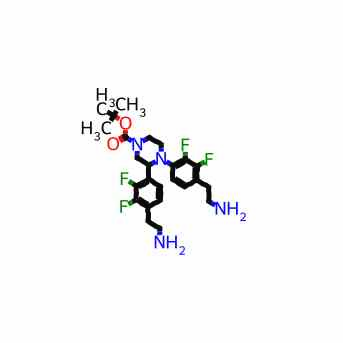 CC(C)(C)OC(=O)N1CCN(c2ccc(CCN)c(F)c2F)C(c2ccc(CCN)c(F)c2F)C1